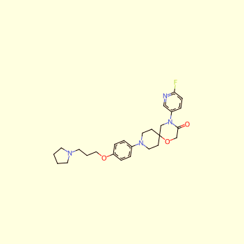 O=C1COC2(CCN(c3ccc(OCCCN4CCCC4)cc3)CC2)CN1c1ccc(F)nc1